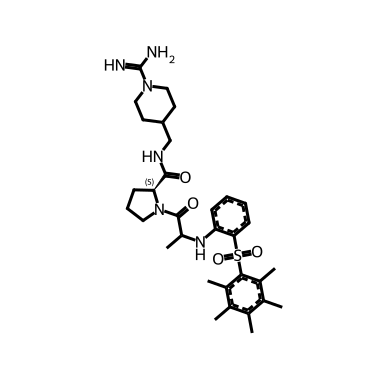 Cc1c(C)c(C)c(S(=O)(=O)c2ccccc2NC(C)C(=O)N2CCC[C@H]2C(=O)NCC2CCN(C(=N)N)CC2)c(C)c1C